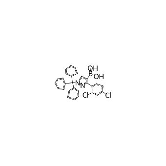 OB(O)c1cn(C(c2ccccc2)(c2ccccc2)c2ccccc2)nc1-c1ccc(Cl)cc1Cl